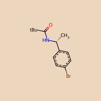 C[C@@H](NC(=O)C(C)(C)C)c1ccc(Br)cc1